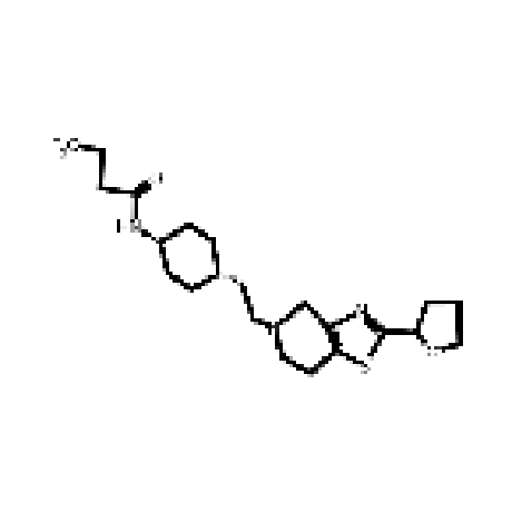 O=C(CCC(F)(F)F)N[C@H]1CC[C@H](CCN2CCc3sc(C4CCCO4)nc3C2)CC1